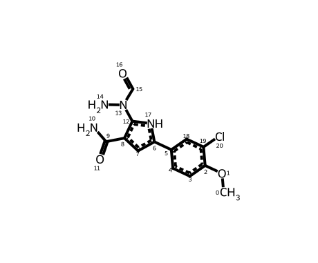 COc1ccc(-c2cc(C(N)=O)c(N(N)C=O)[nH]2)cc1Cl